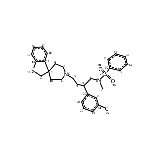 CN(CC(CCN1CCC2(CC1)CSc1ccccc12)c1cccc(Cl)c1)S(=O)(=O)c1ccccc1